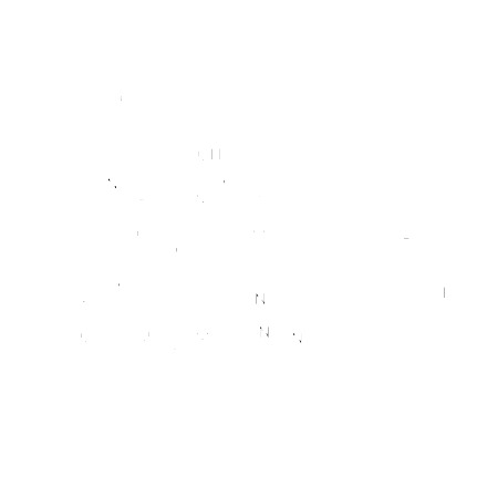 CCN(C(=O)C(SC1OC(COC(C)=O)C(OC(C)=O)C(n2cc(-c3cc(F)c(F)c(F)c3)nn2)C1OC(C)=O)C1(O)CCOCC1)c1ccccc1